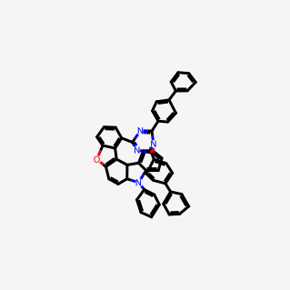 C1=CC2C(c3ccccc3N2c2ccccc2)c2c1oc1cccc(-c3nc(-c4ccc(-c5ccccc5)cc4)nc(-c4ccc(-c5ccccc5)cc4)n3)c21